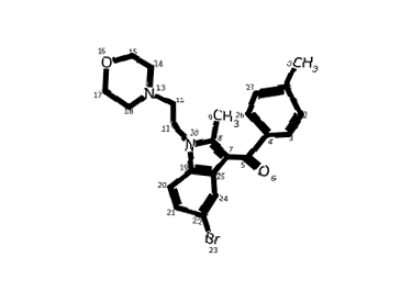 Cc1ccc(C(=O)c2c(C)n(CCN3CCOCC3)c3ccc(Br)cc23)cc1